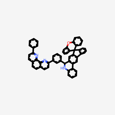 c1ccc(-c2ccc3ccc4ccc(-c5cccc(C6Nc7ccccc7-c7cc8c(cc76)C6(c7ccccc7Oc7ccccc76)c6ccccc6-8)c5)nc4c3n2)cc1